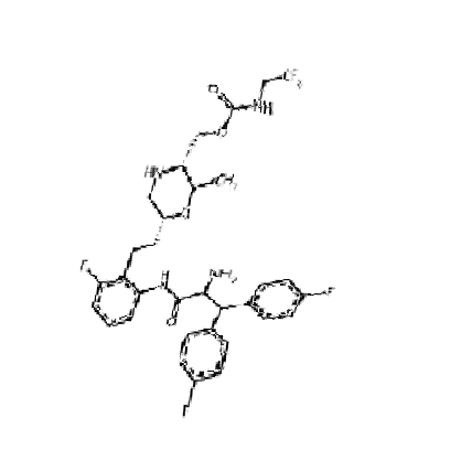 C[C@H]1O[C@H](CCc2c(F)cccc2NC(=O)C(N)C(c2ccc(F)cc2)c2ccc(F)cc2)CN[C@@H]1COC(=O)NCC(F)(F)F